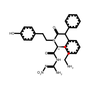 NCCC[C@@H](C(=O)NC(N)=N[N+](=O)[O-])N(CCc1ccc(O)cc1)C(=O)C(c1ccccc1)c1ccccc1